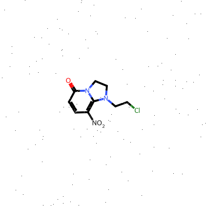 O=c1ccc([N+](=O)[O-])c2n1CCN2CCCl